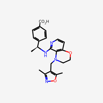 Cc1noc(C)c1CN1CCOc2ccnc(N[C@@H](C)c3ccc(C(=O)O)cc3)c21